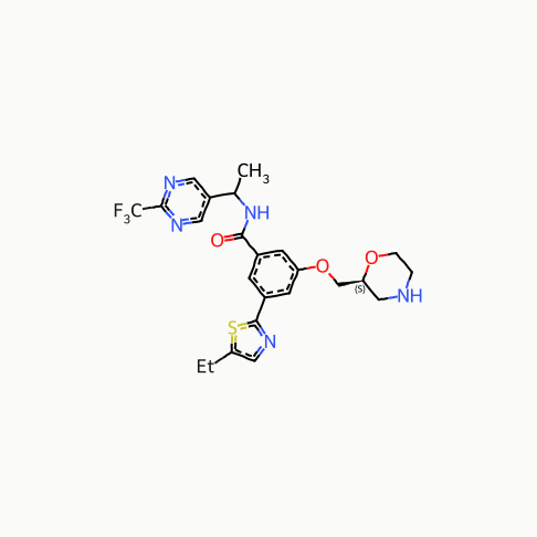 CCc1cnc(-c2cc(OC[C@@H]3CNCCO3)cc(C(=O)NC(C)c3cnc(C(F)(F)F)nc3)c2)s1